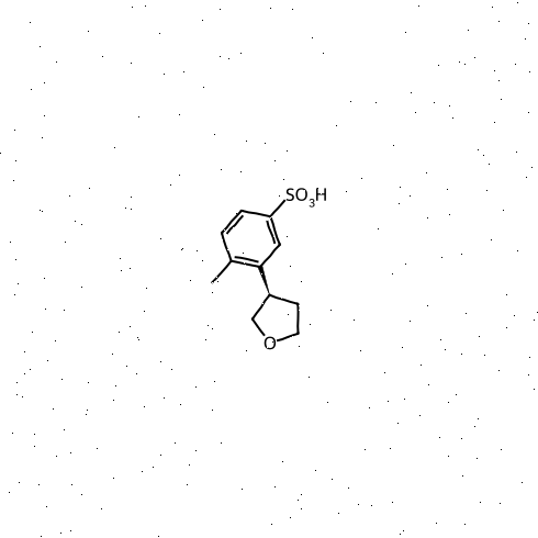 Cc1ccc(S(=O)(=O)O)cc1[C@H]1CCOC1